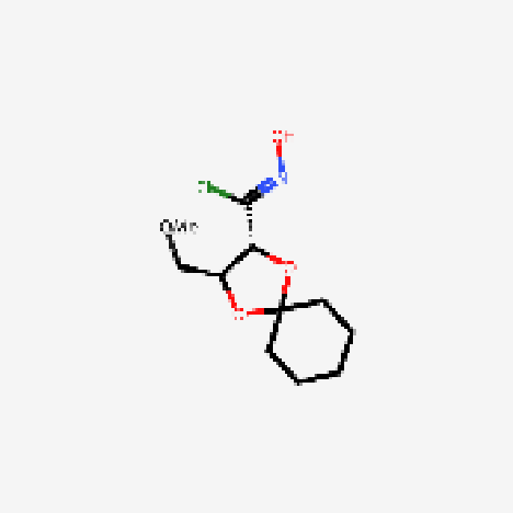 COC[C@@H]1OC2(CCCCC2)O[C@H]1C(Cl)=NO